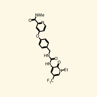 CCn1cc(C(F)(F)F)cc(NC(=O)NCc2ccc(Oc3ccnc(C(=O)NC)c3)cc2)c1=O